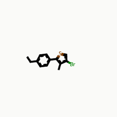 CCc1ccc(-c2scc(Br)c2C)cc1